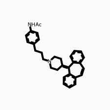 CC(=O)Nc1ccc(CCCN2CCC(=C3c4ccccc4C=Cc4ccccc43)CC2)cc1